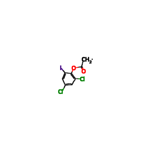 [CH2]C(=O)Oc1c(Cl)cc(Cl)cc1I